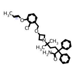 C/C=C/Oc1cccc(COC2CN(C(C)(C)CCC(C(N)=O)(c3ccccc3)c3ccccc3)C2)c1Cl